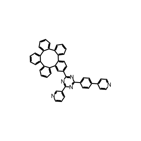 c1cncc(-c2nc(-c3ccc(-c4ccncc4)cc3)nc(-c3ccc4c5ccccc5c5ccccc5c5ccccc5c5ccccc5c4c3)n2)c1